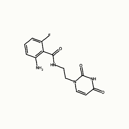 Nc1cccc(F)c1C(=O)NCCn1ccc(=O)[nH]c1=O